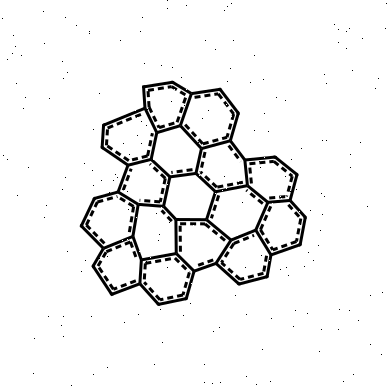 c1cc2ccc3c4ccc5ccc6ccc7c8ccc9ccc%10ccc%11c%12ccc1c1c2c3c2c(c%121)c1c%11c%10c9c8c1c1c7c6c5c4c21